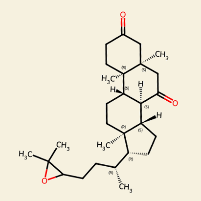 C[C@H](CCC1OC1(C)C)[C@H]1CC[C@H]2[C@@H]3C(=O)C[C@]4(C)CC(=O)CC[C@]4(C)[C@H]3CC[C@]12C